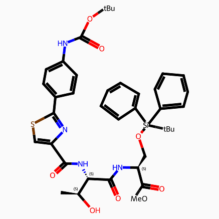 COC(=O)[C@H](CO[Si](c1ccccc1)(c1ccccc1)C(C)(C)C)NC(=O)[C@@H](NC(=O)c1csc(-c2ccc(NC(=O)OC(C)(C)C)cc2)n1)[C@H](C)O